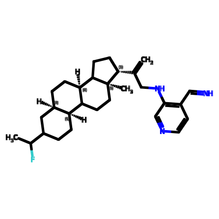 C=C(CNc1cnccc1C=N)[C@H]1CCC2[C@@H]3CC[C@@H]4CC(C(C)F)CC[C@@H]4C3CC[C@@]21C